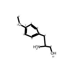 COc1ccc(CC(N)CO)cc1